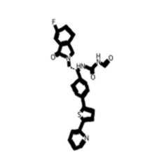 O=CNC(=O)N[C@@H](CN1Cc2ccc(F)cc2C1=O)c1ccc(-c2ccc(-c3ccccn3)s2)cc1